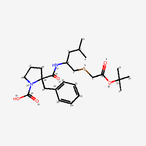 CC(C)CC(CSCC(=O)OC(C)(C)C)NC(=O)C1(Cc2ccccc2)CCCN1C(=O)O